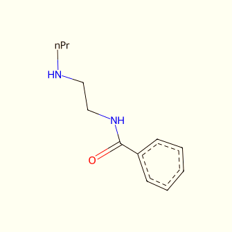 CCCNCCNC(=O)c1ccccc1